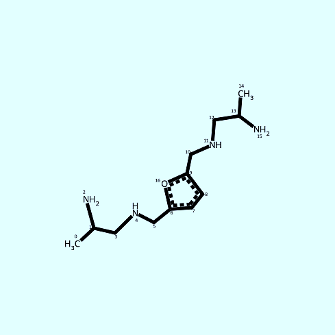 CC(N)CNCc1ccc(CNCC(C)N)o1